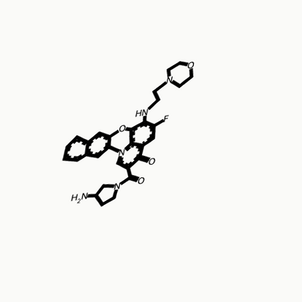 NC1CCN(C(=O)c2cn3c4c(c(NCCN5CCOCC5)c(F)cc4c2=O)Oc2cc4ccccc4cc2-3)C1